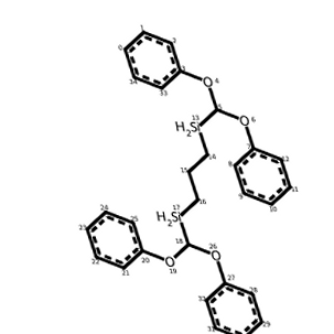 c1ccc(OC(Oc2ccccc2)[SiH2]CCC[SiH2]C(Oc2ccccc2)Oc2ccccc2)cc1